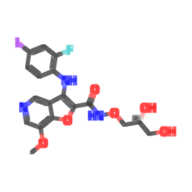 COc1cncc2c(Nc3ccc(I)cc3F)c(C(=O)NOC[C@H](O)CO)oc12